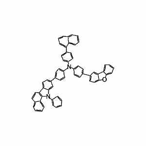 c1ccc(-n2c3cc(-c4ccc(N(c5ccc(-c6ccc7oc8ccccc8c7c6)cc5)c5ccc(-c6cccc7ccccc67)cc5)cc4)ccc3c3ccc4ccccc4c32)cc1